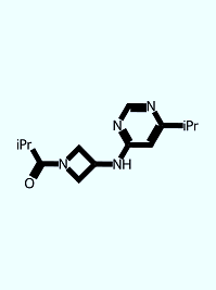 CC(C)C(=O)N1CC(Nc2cc(C(C)C)ncn2)C1